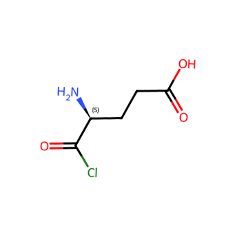 N[C@@H](CCC(=O)O)C(=O)Cl